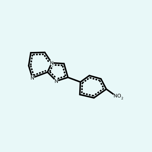 O=[N+]([O-])c1ccc(-c2cn3cccnc3n2)cc1